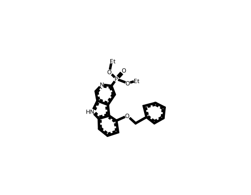 CCOP(=O)(OCC)c1cc2c(cn1)[nH]c1cccc(OCc3ccccc3)c12